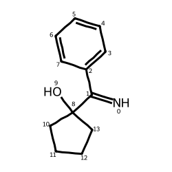 N=C(c1ccccc1)C1(O)CCCC1